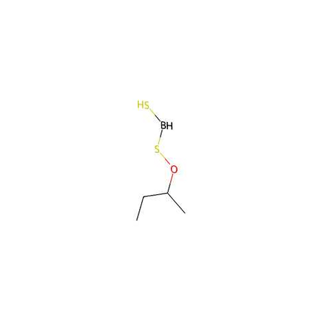 CCC(C)OSBS